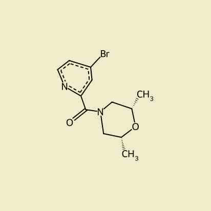 C[C@@H]1CN(C(=O)c2cc(Br)ccn2)C[C@H](C)O1